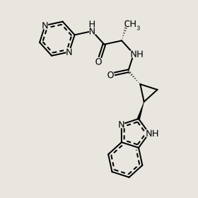 C[C@H](NC(=O)[C@@H]1C[C@H]1c1nc2ccccc2[nH]1)C(=O)Nc1cnccn1